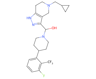 OC(c1n[nH]c2c1CN(CC1CC1)CC2)N1CCC(c2cccc(F)c2C(F)(F)F)CC1